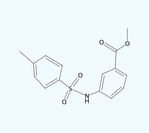 COC(=O)c1cccc(NS(=O)(=O)c2ccc(C)cc2)c1